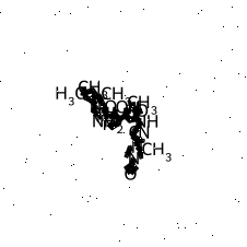 Cc1c2c(n3c1C(=O)N(c1nccc(-c4cc(Nc5ccc(N6CCN(C7COC7)CC6C)cn5)c(=O)n(C)c4)c1CO)[C@H](N)C3)CC(C)(C)C2